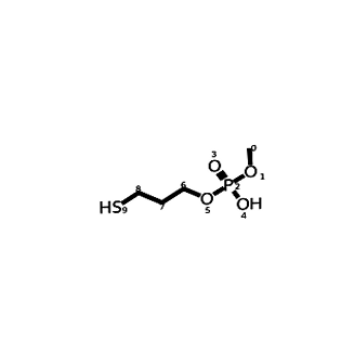 COP(=O)(O)OCCCS